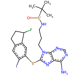 CC(C)(C)[S+]([O-])NCCCn1c(Sc2cc3c(cc2I)CCC3F)nc2c(N)ncnc21